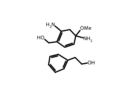 COC1(N)C=CC(CO)=C(N)C1.OCCc1ccccc1